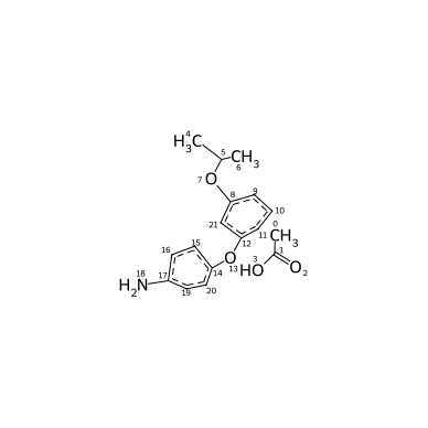 CC(=O)O.CC(C)Oc1cccc(Oc2ccc(N)cc2)c1